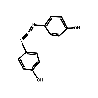 Oc1ccc(N=C=Nc2ccc(O)cc2)cc1